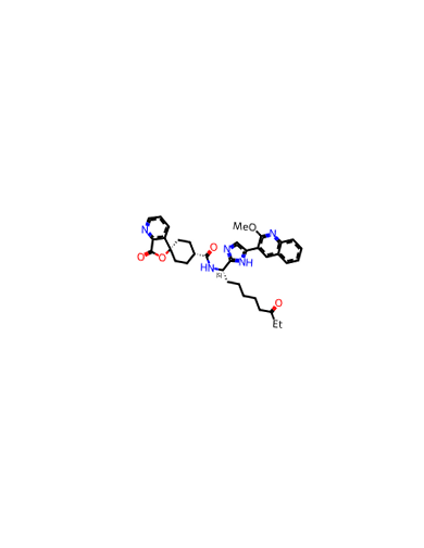 CCC(=O)CCCCC[C@H](NC(=O)[C@H]1CC[C@]2(CC1)OC(=O)c1ncccc12)c1ncc(-c2cc3ccccc3nc2OC)[nH]1